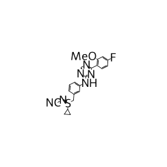 COc1cc(F)ccc1-c1ncnc(Nc2cccc(CS(=NC#N)C3CC3)c2)n1